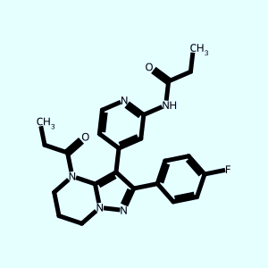 CCC(=O)Nc1cc(-c2c(-c3ccc(F)cc3)nn3c2N(C(=O)CC)CCC3)ccn1